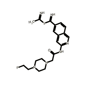 CC(=N)SC(=N)c1ccc2cnc(NC(=O)CN3CCN(CCF)CC3)cc2c1